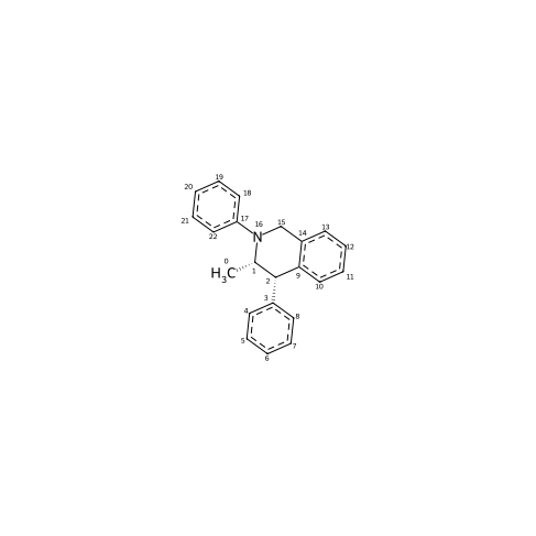 C[C@H]1[C@@H](c2ccccc2)c2ccccc2CN1c1ccccc1